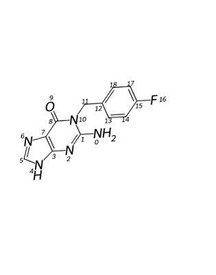 Nc1nc2[nH]cnc2c(=O)n1Cc1ccc(F)cc1